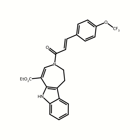 CCOC(=O)C1=CN(C(=O)C=Cc2ccc(OC(F)(F)F)cc2)CCc2c1[nH]c1ccccc21